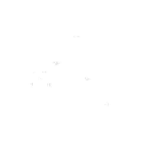 CCCCCNc1ccc(C(N)COP(=O)(O)O)c(CCCCC)c1